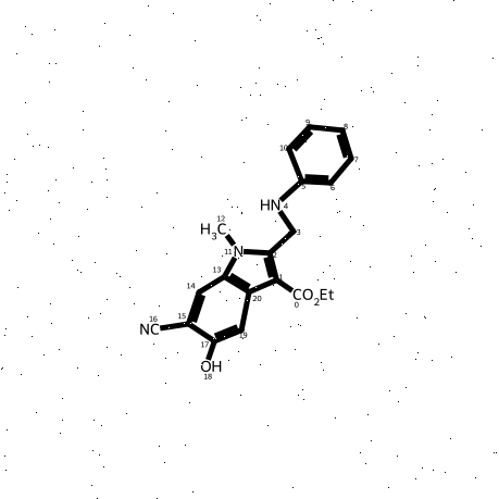 CCOC(=O)c1c(CNc2ccccc2)n(C)c2cc(C#N)c(O)cc12